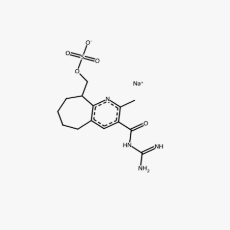 Cc1nc2c(cc1C(=O)NC(=N)N)CCCCC2COS(=O)(=O)[O-].[Na+]